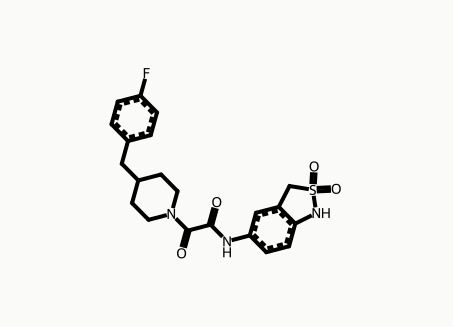 O=C(Nc1ccc2c(c1)CS(=O)(=O)N2)C(=O)N1CCC(Cc2ccc(F)cc2)CC1